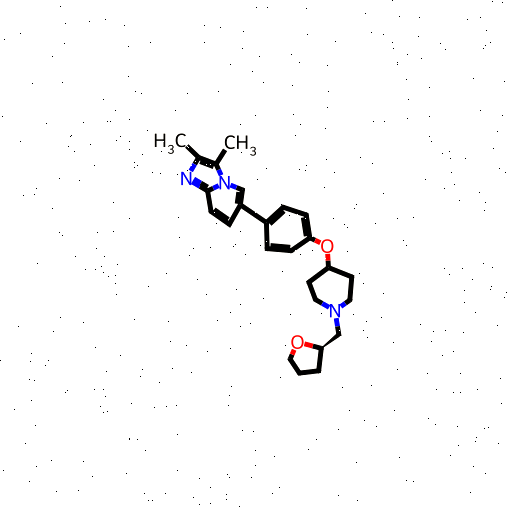 Cc1nc2ccc(-c3ccc(OC4CCN(C[C@H]5CCCO5)CC4)cc3)cn2c1C